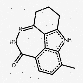 Cc1ccc2c3c4c([nH]c13)CCCC4=NNC2=O